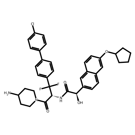 NC1CCN(C(=O)[C@@H](NC(=O)[C@H](O)c2ccc3cc(OC4CCCC4)ccc3c2)C(F)(F)c2ccc(-c3ccc(Cl)cc3)cc2)CC1